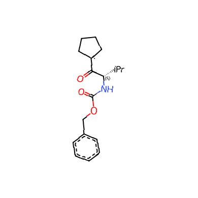 CC(C)[C@H](NC(=O)OCc1ccccc1)C(=O)[C]1CCCC1